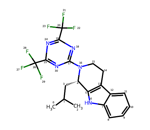 CC(C)C[C@H]1c2[nH]c3ccccc3c2CCN1c1nc(C(F)(F)F)nc(C(F)(F)F)n1